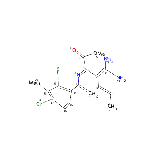 C=C(/N=C(/C(=O)OC)C(/C=C/C)=C(N)N)c1ccc(Cl)c(OC)c1F